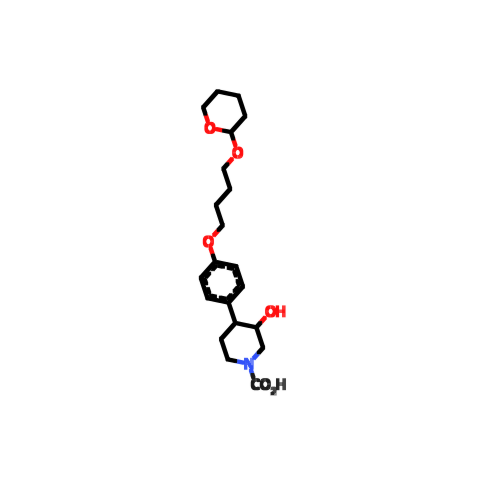 O=C(O)N1CCC(c2ccc(OCCCCOC3CCCCO3)cc2)C(O)C1